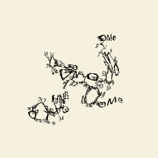 COCCCN1CCOc2ccc(CO[C@H]3CN(S(=O)(=O)c4ccc(C)cc4)[C@H](CCNC(=O)C(C)(C)C4CCOCC4)C[C@@H]3c3ccc(OC)cc3)cc21